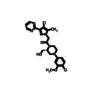 COc1cc(N2CCN(C(=O)Cn3nc(-c4ncccn4)c(Cl)c3C)[C@@H](CO)C2)ccc1Cl